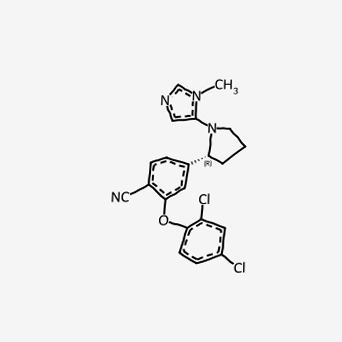 Cn1cncc1N1CCC[C@@H]1c1ccc(C#N)c(Oc2ccc(Cl)cc2Cl)c1